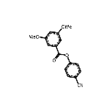 COc1cc(OC)cc(C(=O)Oc2ccc(C#N)cc2)c1